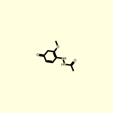 COC1=C(NNC(C)=O)C=CC(=O)C1